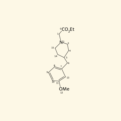 CCOC(=O)CN1CCC(Cc2cccc(OC)c2)CC1